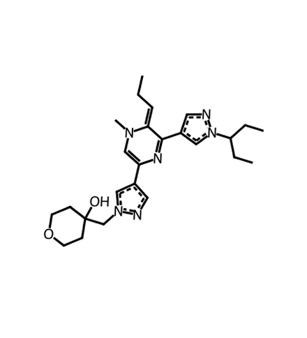 CC/C=C1/C(c2cnn(C(CC)CC)c2)=NC(c2cnn(CC3(O)CCOCC3)c2)=CN1C